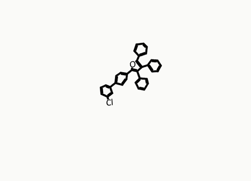 Clc1cccc(-c2ccc(-c3oc(-c4ccccc4)c(-c4ccccc4)c3-c3ccccc3)cc2)c1